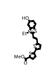 CC[n+]1c(/C=C/c2ccc(-c3ccc(C(=O)OC)s3)s2)sc2ccc(O)cc21